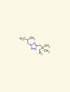 CC(C)Cn1nnc(CC(C)(C)C)n1